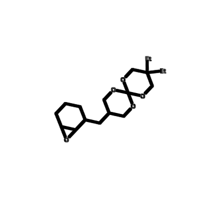 CCC1(CC)COC2(OCC(CC3CCCC4OC34)CO2)OC1